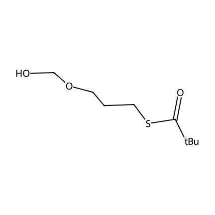 CC(C)(C)C(=O)SCCCOCO